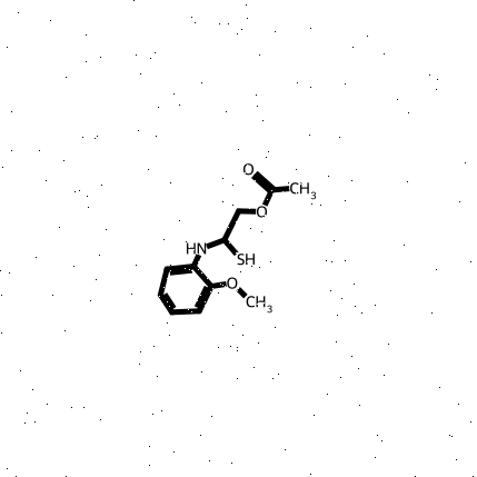 COc1ccccc1NC(S)COC(C)=O